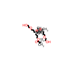 C=C(C)C(=O)OCCC[Si](C)(CCCOCCO)O[Si](C)(C)O[Si](C)(C)CCCOCCO